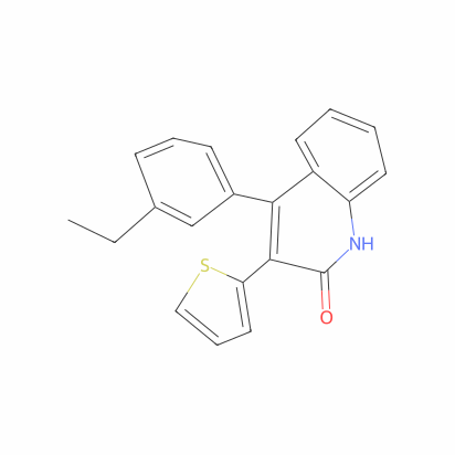 CCc1cccc(-c2c(-c3cccs3)c(=O)[nH]c3ccccc23)c1